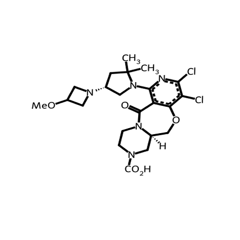 COC1CN([C@H]2CN(c3nc(Cl)c(Cl)c4c3C(=O)N3CCN(C(=O)O)C[C@@H]3CO4)C(C)(C)C2)C1